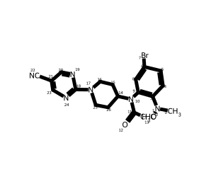 CN(C)c1ccc(Br)cc1N(C(=O)C=O)C1CCN(c2ncc(C#N)cn2)CC1